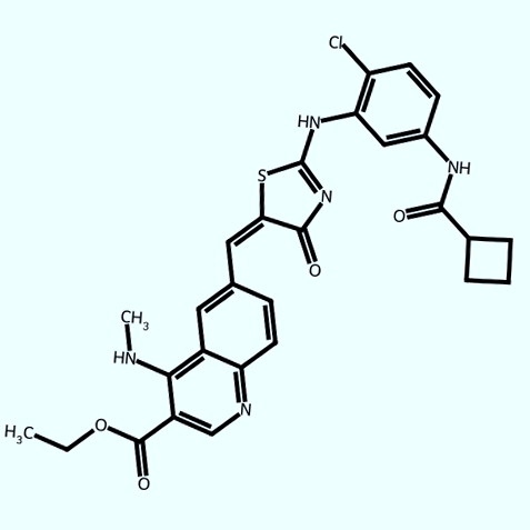 CCOC(=O)c1cnc2ccc(C=C3SC(Nc4cc(NC(=O)C5CCC5)ccc4Cl)=NC3=O)cc2c1NC